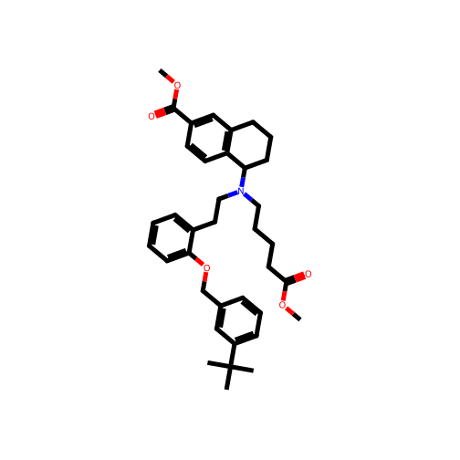 COC(=O)CCCCN(CCc1ccccc1OCc1cccc(C(C)(C)C)c1)C1CCCc2cc(C(=O)OC)ccc21